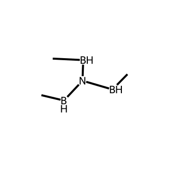 CBN(BC)BC